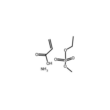 C=CC(=O)O.CCOS(=O)(=O)OC.N